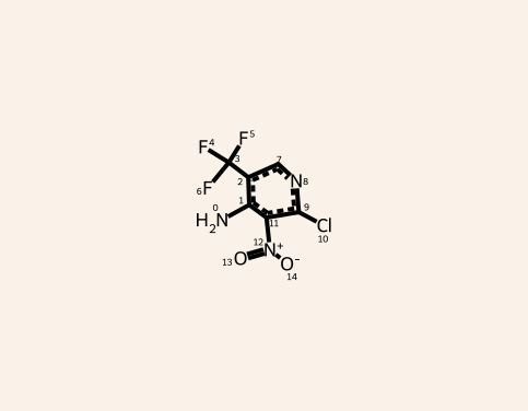 Nc1c(C(F)(F)F)cnc(Cl)c1[N+](=O)[O-]